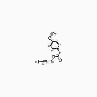 CC(C)Oc1ccc(CC(=O)OCC#CI)cc1